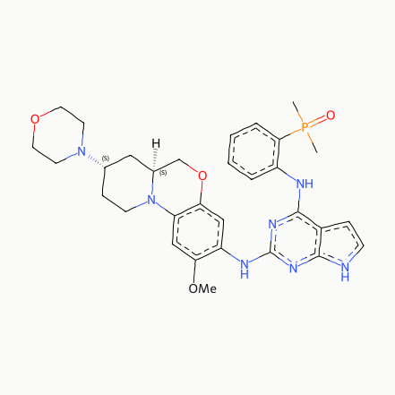 COc1cc2c(cc1Nc1nc(Nc3ccccc3P(C)(C)=O)c3cc[nH]c3n1)OC[C@@H]1C[C@@H](N3CCOCC3)CCN21